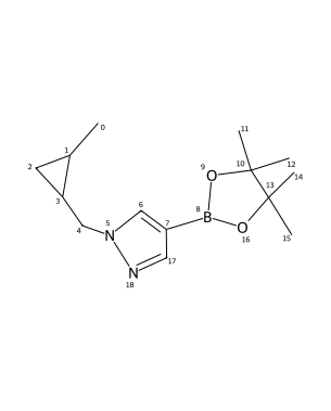 CC1CC1Cn1cc(B2OC(C)(C)C(C)(C)O2)cn1